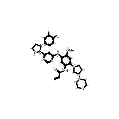 C=CC(=O)Nc1cc(Nc2cc(N3OCC[C@@H]3c3ccc(Cl)c(F)c3)ncn2)c(OC)cc1N1CC[C@@H](N2CCOCC2)C1